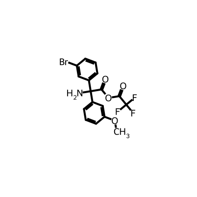 COc1cccc(C(N)(C(=O)OC(=O)C(F)(F)F)c2cccc(Br)c2)c1